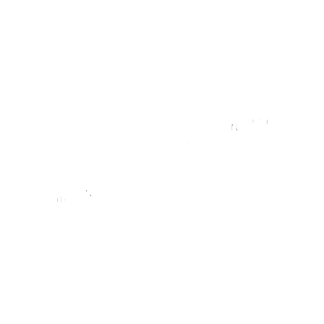 CC(C)(CCC(C)(C)C1CN(C(C)(C)C)C1)C1CCN(C(C)(C)C)CC1